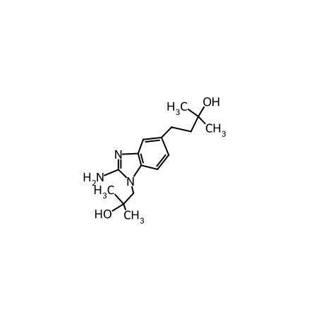 CC(C)(O)CCc1ccc2c(c1)nc(N)n2CC(C)(C)O